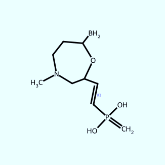 BC1CCN(C)CC(/C=C/P(=C)(O)O)O1